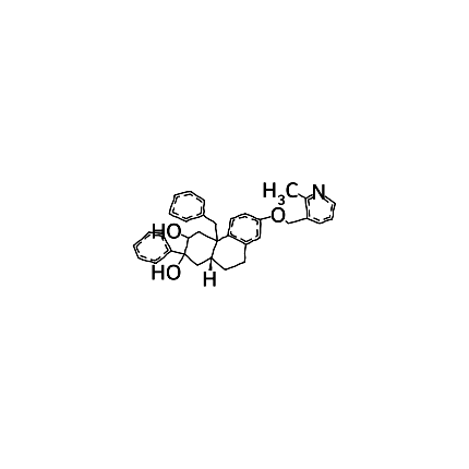 Cc1ncccc1COc1ccc2c(c1)CC[C@@H]1CC(O)(c3ccccc3)C(O)CC21Cc1ccccc1